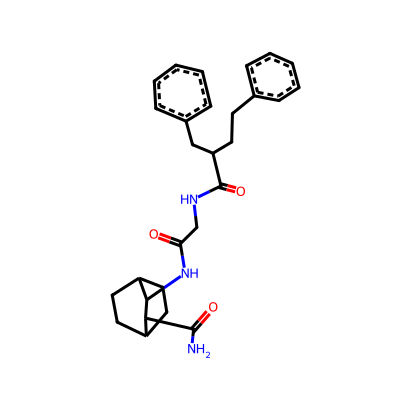 NC(=O)C1C2CCC(CC2)C1NC(=O)CNC(=O)C(CCc1ccccc1)Cc1ccccc1